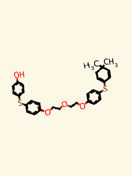 CC1(C)C=CC(Sc2ccc(OCCOCCOc3ccc(Sc4ccc(O)cc4)cc3)cc2)=CC1